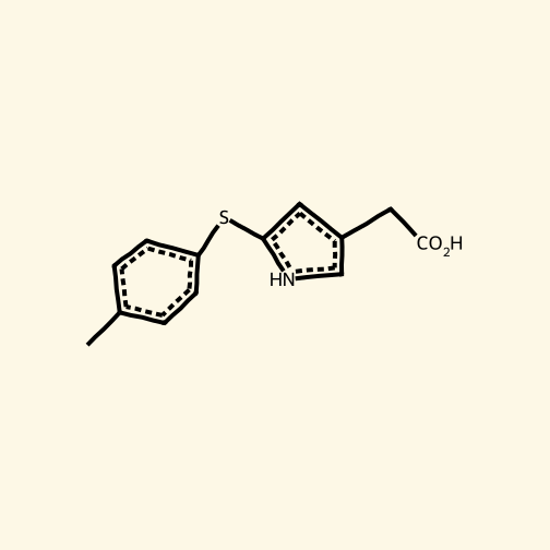 Cc1ccc(Sc2cc(CC(=O)O)c[nH]2)cc1